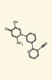 N#Cc1cccnc1-c1cccc(-n2cc(O)c(=O)cc2N)c1